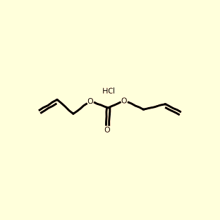 C=CCOC(=O)OCC=C.Cl